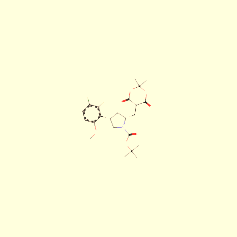 COc1ccc(Cl)c(Cl)c1[C@H]1C[C@@H](CC2C(=O)OC(C)(C)OC2=O)N(C(=O)OC(C)(C)C)C1